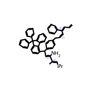 C=C/C=C(\C=C/Cc1ccc(C(/C=C(N)/C(C)=C/C(C)C)c2cccc3c2-c2ccccc2C3(c2ccccc2)c2ccccc2)cc1)c1ccccc1